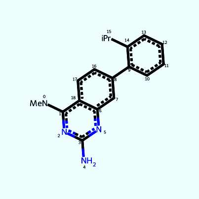 CNc1nc(N)nc2cc(-c3ccccc3C(C)C)ccc12